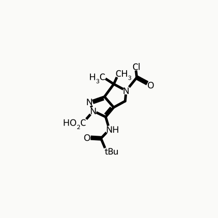 CC(C)(C)C(=O)Nc1c2c(nn1C(=O)O)C(C)(C)N(C(=O)Cl)C2